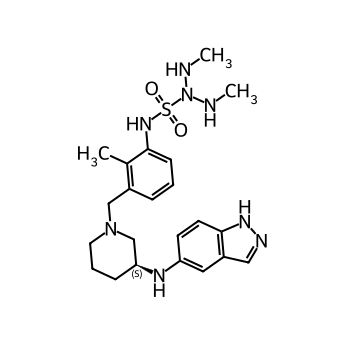 CNN(NC)S(=O)(=O)Nc1cccc(CN2CCC[C@H](Nc3ccc4[nH]ncc4c3)C2)c1C